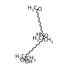 CC(=O)CCCCCCCCCCNC(=O)C(C)(C)CCCCCCCCCCC(C)(C)C(=O)O